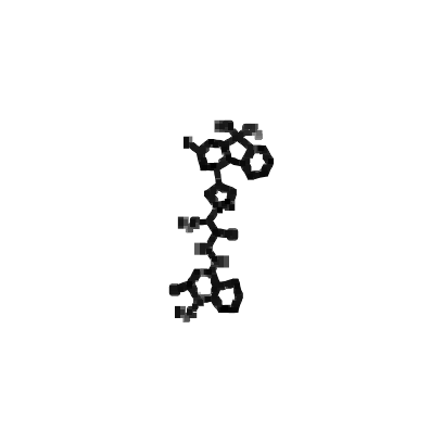 CC(C(=O)NNc1cc(=O)n(C)c2ccccc12)n1cc(-c2cc(F)cc3c2-c2ccccc2C3(O)C(F)(F)F)cn1